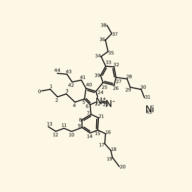 CCCCCC1=C(c2cc(CCCC)cc(CCCCC)c2)[N+](=[N-])C(c2cc(CCCC)cc(CCCCC)c2)=C1CCCC.[Ni]